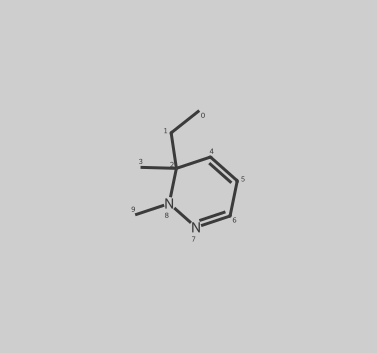 CCC1(C)C=CC=NN1C